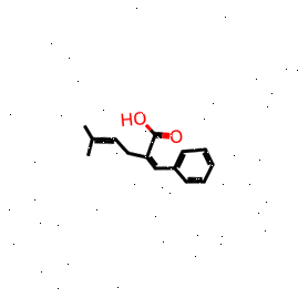 CC(C)=CCC(=Cc1ccccc1)C(=O)O